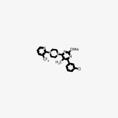 COc1nc(-c2cccc(Cl)c2)c(C)c(N2CCN(c3ncccc3C(F)(F)F)CC2)n1